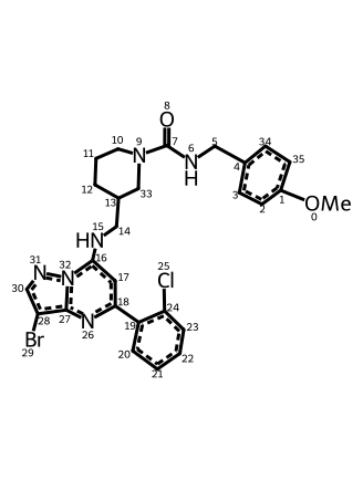 COc1ccc(CNC(=O)N2CCCC(CNc3cc(-c4ccccc4Cl)nc4c(Br)cnn34)C2)cc1